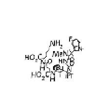 CN[C@H](C(=O)N[C@H](C(=O)N(C)[C@H](/C=C(\C)C(=O)N[C@H](CCC(=O)N[C@@H](CCCCN)C(=O)O)C(=O)O)C(C)C)C(C)(C)C)C(C)(C)c1cn(C)c2ccc(F)cc12